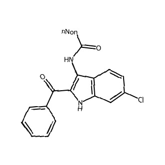 CCCCCCCCCC(=O)Nc1c(C(=O)c2ccccc2)[nH]c2cc(Cl)ccc12